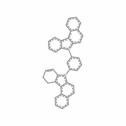 C1=Cc2c(c3c4ccccc4ccc3n2-c2cccc(-n3c4ccccc4c4c5ccccc5ccc43)c2)CC1